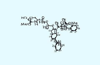 COC(=O)NC(CC(=O)O)C(=O)NCC(O)CC(Cc1ccc(-c2ccccn2)cc1)NC(=O)C(C)(N(Cc1ccccc1)C(=O)OC)C(C)(C)C